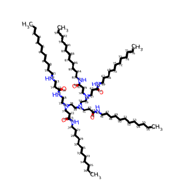 CCCCCCCCCCCCNCCC(=O)NCCN(CCC(=O)NCCCCCCCCCCCC)CCN(CCC(=O)NCCCCCCCCCCCC)CCN(CCC(=O)NCCCCCCCCCCCC)CCC(=O)NCCCCCCCCCCCC